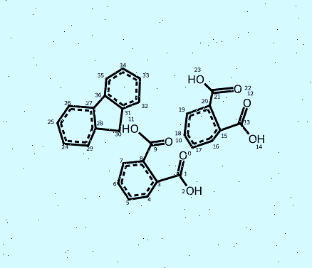 O=C(O)c1ccccc1C(=O)O.O=C(O)c1ccccc1C(=O)O.c1ccc2c(c1)Cc1ccccc1-2